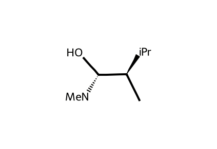 CN[C@H](O)[C@H](C)C(C)C